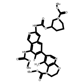 Cc1c(-c2cc3cc(NC(=O)OC4CCCN(C(=O)OC(C)(C)C)C4)ncc3c(NC(=O)OC(C)(C)C)c2F)cnc2c1N(C(=O)OC(C)(C)C)CCO2